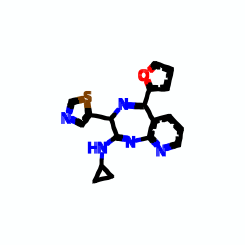 c1coc(C2=NC(c3cncs3)C(NC3CC3)=Nc3ncccc32)c1